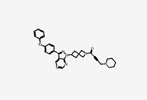 O=C(C#CCN1CCCCC1)N1CC2(CC(n3nc(-c4ccc(Oc5ccccc5)cc4)c4cncnc43)C2)C1